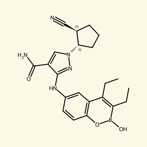 CCC1=C(CC)c2cc(Nc3nn([C@H]4CCC[C@@H]4C#N)cc3C(N)=O)ccc2OB1O